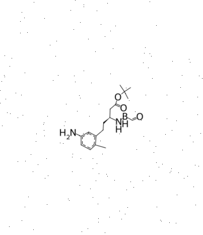 Cc1ccc(N)cc1CC[C@@H](CC(=O)OC(C)(C)C)NBC=O